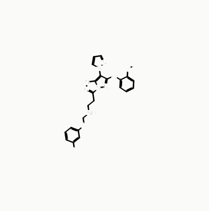 COc1ccccc1Oc1nn2c(CCNCOc3cccc(C)c3)n[nH]c2c1-n1cccn1